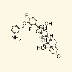 C[C@]12C=CC(=O)C=C1CC[C@@H]1[C@@H]2[C@@H](O)C[C@@]2(C)[C@H]1C[C@H]1O[C@H](c3ccc(F)c(OCc4cccc(N)c4)c3F)O[C@]12C(=O)CO